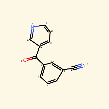 N#Cc1cccc(C(=O)c2cccnc2)c1